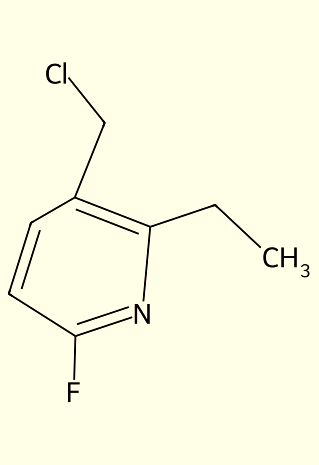 CCc1nc(F)ccc1CCl